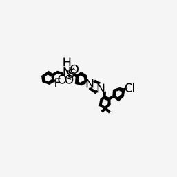 CC1(C)CCC(CN2CCN(c3ccc(S(=O)(=O)NC(=O)Cc4ccccc4F)cc3)CC2)=C(c2ccc(Cl)cc2)C1